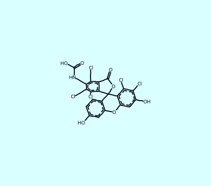 O=C(O)Nc1c(Cl)c(Cl)c2c(c1Cl)C(=O)OC21c2ccc(O)cc2Oc2cc(O)c(Cl)c(Cl)c21